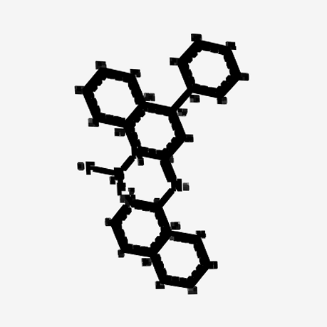 FB(F)n1/c(=N\c2nccc3ccccc23)cc(-c2ccccc2)c2ccccc21